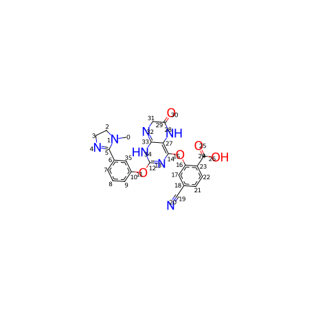 CN1CCN=C1c1cccc(OC2=NC(Oc3cc(C#N)ccc3C(=O)O)=C3NC(=O)CN=C3N2)c1